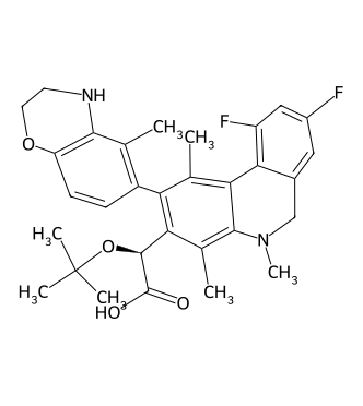 Cc1c(-c2c(C)c3c(c(C)c2[C@H](OC(C)(C)C)C(=O)O)N(C)Cc2cc(F)cc(F)c2-3)ccc2c1NCCO2